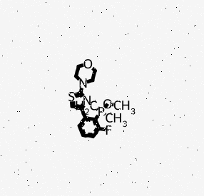 C=P(C)(OC)c1c(F)cccc1-c1csc(N2CCOCC2)n1